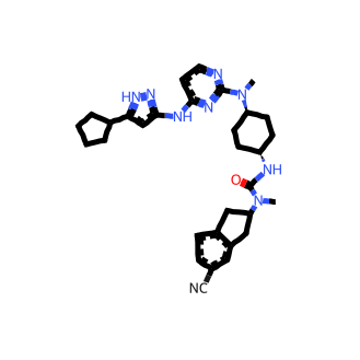 CN(C(=O)N[C@H]1CC[C@H](N(C)c2nccc(Nc3cc(C4CCCC4)[nH]n3)n2)CC1)C1Cc2ccc(C#N)cc2C1